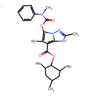 CCCCC1CC(C)CC(CCCC)C1OC(=O)c1c(C#N)c(OC(=O)N(C)c2ccccc2)n2nc(C)[nH]c12